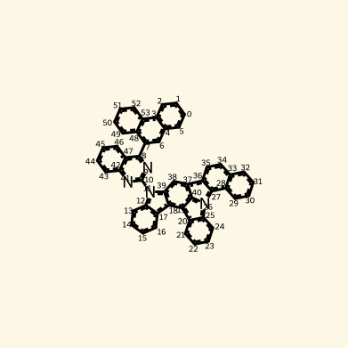 c1ccc2c(c1)cc(-c1nc(-n3c4ccccc4c4c5c6ccccc6n6c7c8ccccc8ccc7c(cc43)c56)nc3ccccc13)c1ccccc12